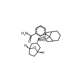 COC1(c2cccc(C(N)=O)c2)C2CCCC1CN(C[C@@H]1C[C@H]3CC[C@@H](C1)O3)C2